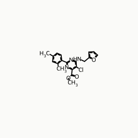 COC(=O)c1nc(-c2ccc(C)cc2C)nc(NCc2ccco2)c1Cl